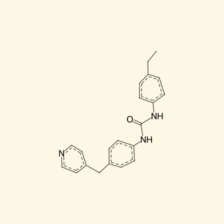 CCc1ccc(NC(=O)Nc2ccc(Cc3ccncc3)cc2)cc1